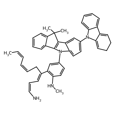 C/C=C\C=C/C/C(=C\C=C/N)c1cc(-n2c3c(c4cc(-n5c6c(c7ccccc75)=CCCC=6)ccc42)C(C)(C)c2ccccc2-3)ccc1NC